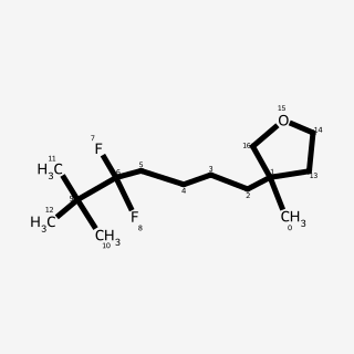 CC1(CCCCC(F)(F)C(C)(C)C)CCOC1